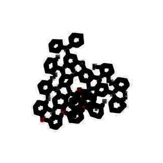 Fc1ccc2sc3c(c2c1)N(c1c(F)cccc1F)c1cc(N(c2ccccc2F)c2c(F)cccc2F)cc2c1B3c1cc3c(cc1N2c1c(F)cccc1F)Oc1cc(N(c2ccccc2)c2ccccc2)cc2c1B3c1cc3c(cc1N2c1c(F)cccc1F)N(c1c(F)cccc1F)c1cc(N(c2c(F)cccc2F)c2c(F)cccc2F)cc2c1B3c1sc3ccc(F)cc3c1N2c1c(F)cccc1F